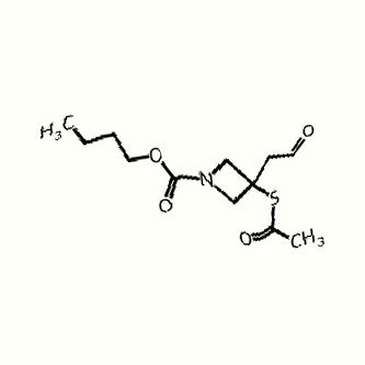 CCCCOC(=O)N1CC(CC=O)(SC(C)=O)C1